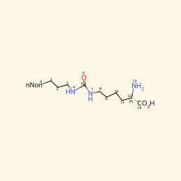 CCCCCCCCCCCCNC(=O)NCCCC[C@H](N)C(=O)O